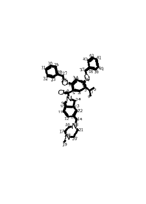 CC(C)c1cc(C(=O)N2Cc3ccc(CN4CCN(C)CC4)cc3C2)c(OCc2ccccc2)cc1OCc1ccccc1